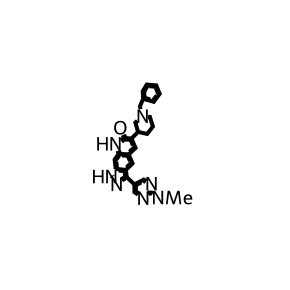 CNc1ncc(-c2n[nH]c3cc4[nH]c(=O)c(C5CCCN(Cc6ccccc6)C5)cc4cc23)cn1